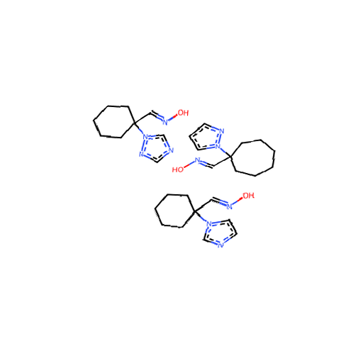 ON=CC1(n2cccn2)CCCCCC1.ON=CC1(n2ccnc2)CCCCC1.ON=CC1(n2cncn2)CCCCC1